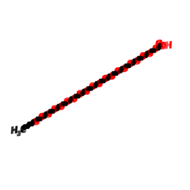 CCCCCCOCCOCCOCCOCCOCCOCCOCCOCCOCCOCCOCCOCCOCCOCCOCCOCCOCCOCCOCCOCC(=O)O